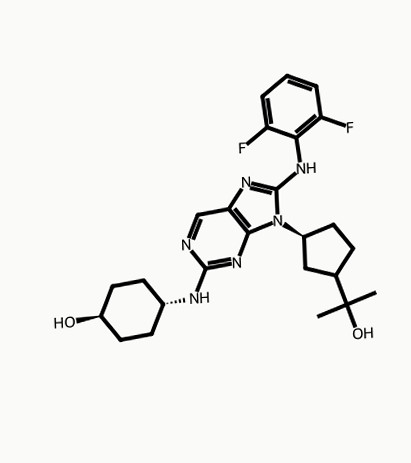 CC(C)(O)C1CC[C@H](n2c(Nc3c(F)cccc3F)nc3cnc(N[C@H]4CC[C@H](O)CC4)nc32)C1